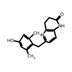 Cc1cc(O)cc(C)c1Cc1ccc2c(n1)CCC(=O)N2